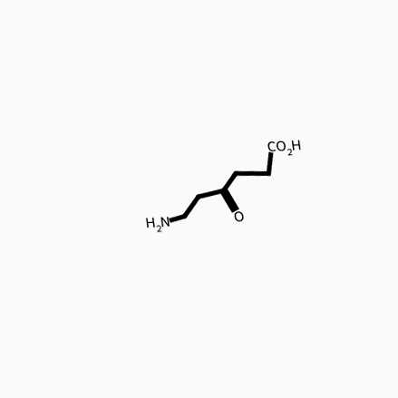 NCCC(=O)CCC(=O)O